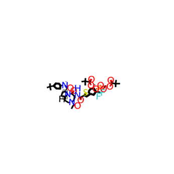 CC(=O)N1CC[C@H]2CC[C@@H](C(=O)N(C)c3ccc(C(C)(C)C)cc3)N2C(=O)C(NC(=O)c2cc3cc(C(F)(F)P(=O)(OCOC(=O)C(C)(C)C)OCOC(=O)C(C)(C)C)ccc3s2)C1